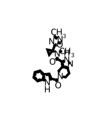 Cc1noc(C2(N(C)C(=O)c3[nH]nc4c3CN(C(=O)c3cc5ccccc5[nH]3)CC4)CC2)n1